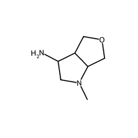 CN1CC(N)C2COCC21